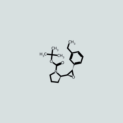 CCc1cccc([C@@H]2O[C@H]2[C@H]2CCCN2C(=O)OC(C)(C)C)c1